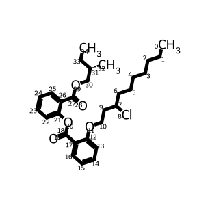 CCCCCCCC(Cl)CCOc1ccccc1C(=O)Oc1ccccc1C(=O)OC[C@@H](C)CC